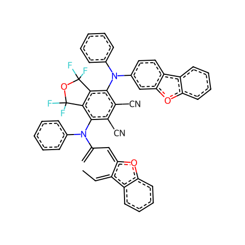 C=C(/C=c1/oc2ccccc2/c1=C/C)N(c1ccccc1)c1c(C#N)c(C#N)c(N(c2ccccc2)c2ccc3c(c2)oc2ccccc23)c2c1C(F)(F)OC2(F)F